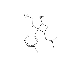 CCCC1CC(CN(C)C)C1(OCC(F)(F)F)c1cccc(I)c1